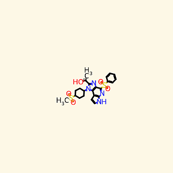 C[C@@H](O)c1nc2c(S(=O)(=O)c3ccccc3)nc3[nH]ccc3c2n1C1CCC(S(C)(=O)=O)CC1